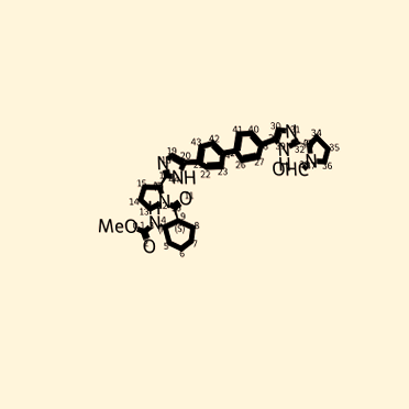 COC(=O)N[C@@H]1CCCC[C@@H]1C(=O)N1CCC[C@H]1c1ncc(-c2ccc(-c3ccc(-c4cnc([C@@H]5CCCN5C=O)[nH]4)cc3)cc2)[nH]1